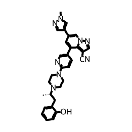 C[C@@H](Cc1ccccc1O)N1CCN(c2ccc(-c3cc(-c4cnn(C)c4)cn4ncc(C#N)c34)cn2)CC1